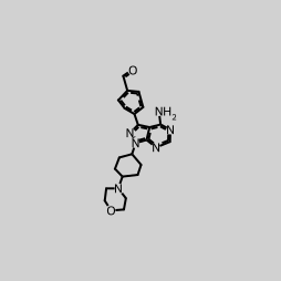 Nc1ncnc2c1c(-c1ccc(C=O)cc1)nn2C1CCC(N2CCOCC2)CC1